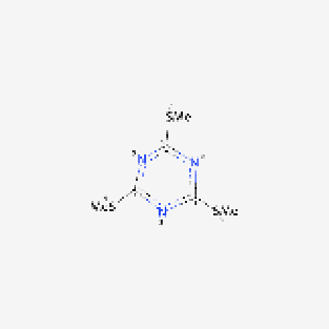 CSc1nc(SC)nc(SC)n1